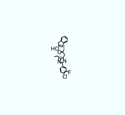 CCn1nc(-c2ccc(Cl)c(F)c2)nc1CC(=O)C[C@H]1c2ccccc2C[C@@H]1O